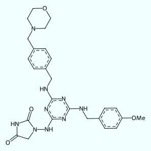 COc1ccc(CNc2nc(NCc3ccc(CN4CCOCC4)cc3)nc(NN3CC(=O)NC3=O)n2)cc1